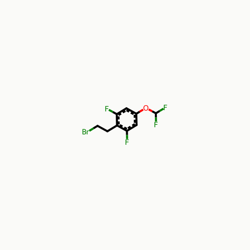 Fc1cc(OC(F)F)cc(F)c1CCBr